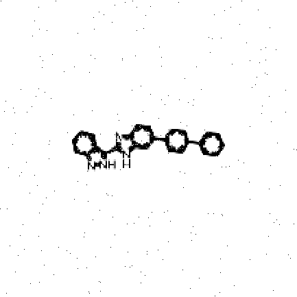 c1ccc(-c2ccc(-c3ccc4nc(-c5[nH]nc6ccccc56)[nH]c4c3)cc2)cc1